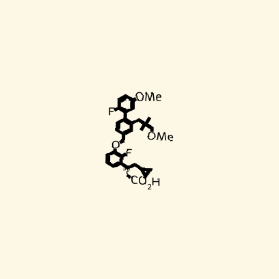 COCC(C)(C)Cc1cc(COc2cccc([C@@H](CC(=O)O)CC3CC3)c2F)ccc1-c1cc(OC)ccc1F